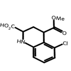 COC(=O)C1CC(C(=O)O)Nc2cccc(Cl)c21